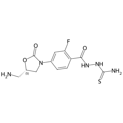 NC[C@H]1CN(c2ccc(C(=O)NNC(N)=S)c(F)c2)C(=O)O1